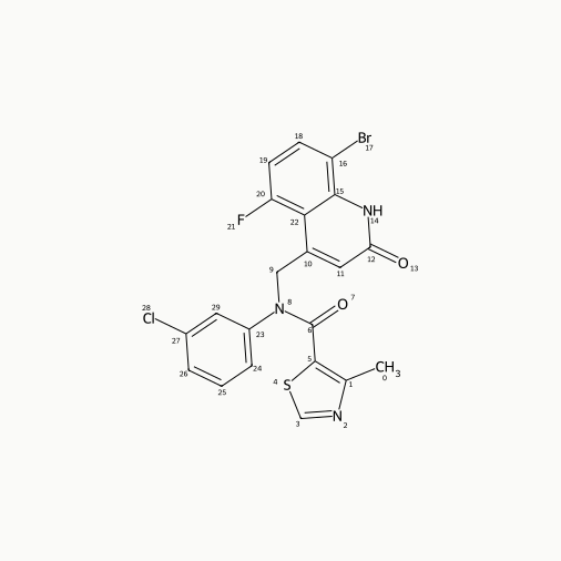 Cc1ncsc1C(=O)N(Cc1cc(=O)[nH]c2c(Br)ccc(F)c12)c1cccc(Cl)c1